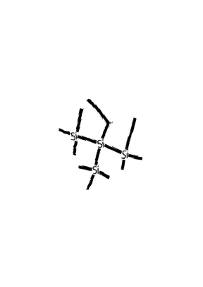 C[CH][Si]([Si](C)(C)C)([Si](C)(C)C)[Si](C)(C)C